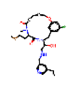 CCc1cncc(CNCC(O)C2Cc3cc(F)cc(c3)OCCCCC(=O)N(C)C(CCSC)C(=O)N2)c1